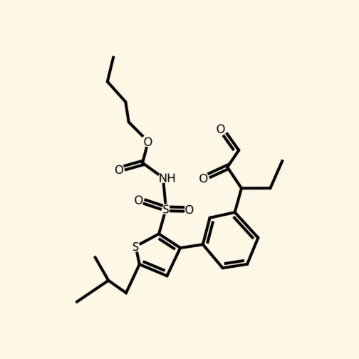 CCCCOC(=O)NS(=O)(=O)c1sc(CC(C)C)cc1-c1cccc(C(CC)C(=O)C=O)c1